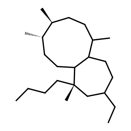 CCCC[C@@]1(C)CC(CC)CCC2C(C)CC[C@H](C)[C@@H](C)CCC21